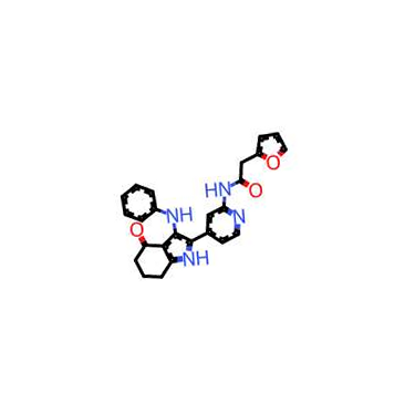 O=C(Cc1ccco1)Nc1cc(-c2[nH]c3c(c2Nc2ccccc2)C(=O)CCC3)ccn1